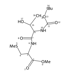 COC(=O)C(CSC)NC(=O)C(NC(=O)OC(C)(C)C)C(C)O